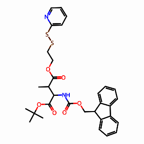 CC(C(=O)OCCSSc1ccccn1)C(NC(=O)OCC1c2ccccc2-c2ccccc21)C(=O)OC(C)(C)C